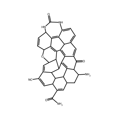 N#CC1=CC2C(C(N)=O)=CC3CC(N)C4C(=O)C5=CC6=CC=C7NC(=O)NC8C=CC9OC%10C=C1C1C%11C(=C4C3C21)C5=C1C(=C9C8=C7C61)C%10%11